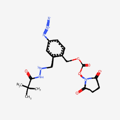 CC(C)(C)C(=O)NNCc1cc(N=[N+]=[N-])ccc1COC(=O)ON1C(=O)CCC1=O